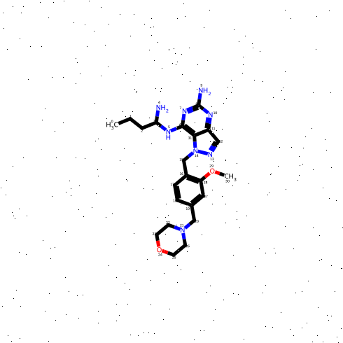 CCCC(N)Nc1nc(N)nc2cnn(Cc3ccc(CN4CCOCC4)cc3OC)c12